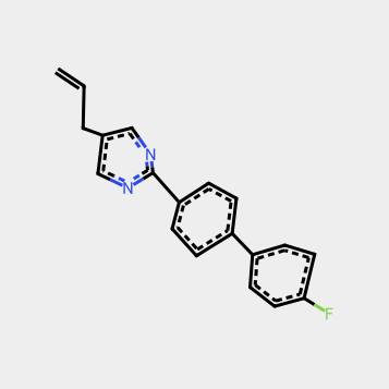 C=CCc1cnc(-c2ccc(-c3ccc(F)cc3)cc2)nc1